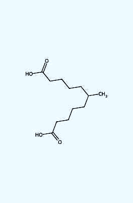 CC(CCCCC(=O)O)CCCCC(=O)O